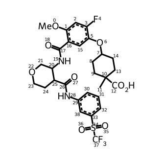 COc1cc(F)c(OC2CCC(C)(C(=O)O)CC2)cc1C(=O)NC1COCCC1C(=O)Nc1cccc(S(=O)(=O)C(F)(F)F)c1